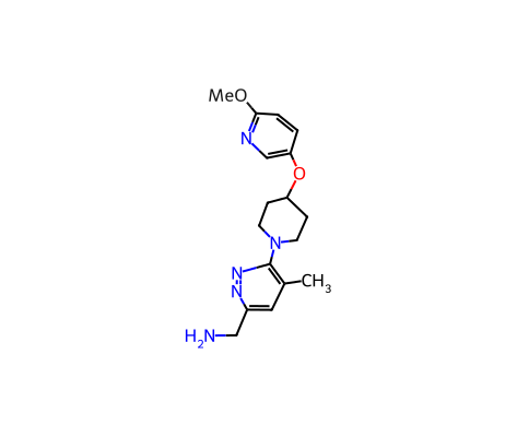 COc1ccc(OC2CCN(c3nnc(CN)cc3C)CC2)cn1